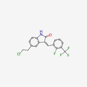 O=C1Nc2ccc(CCCl)cc2C1=Cc1cccc(C(F)(F)F)c1F